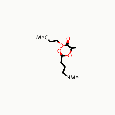 CNCCCC(=O)OC(C)C(=O)OCCOC